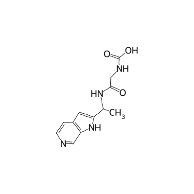 CC(NC(=O)CNC(=O)O)c1cc2ccncc2[nH]1